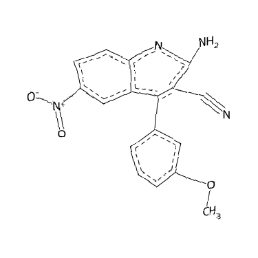 COc1cccc(-c2c(C#N)c(N)nc3ccc([N+](=O)[O-])cc23)c1